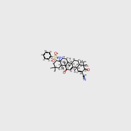 CC1(C)CC[C@]2(NS(=O)(=O)c3ccccc3)CC[C@]3(C)[C@H](C(=O)C=C4[C@@]5(C)C=C(C#N)C(=O)C(C)(C)[C@@H]5CC[C@]43C)[C@H]2C1